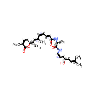 COC1=CC[C@@H]([C@@H](C)/C=C(C)/C=C\C=C\C(=O)N[C@H](C(=O)N/C=C\C[C@@H](O)CC=C(C)C)C(C)(C)C)OC1=O